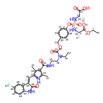 CCOC(=O)[C@H](C)NP(=O)(N[C@@H](C)C(=O)O)Oc1ccc(COC(=O)N(CC)CCNC(=O)c2c(C)[nH]c(/C=C3\C(=O)Nc4ccc(F)cc43)c2C)cc1